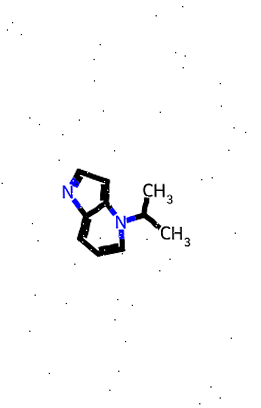 CC(C)n1cccc2nccc1-2